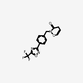 O=C1CC=CON1Cc1ccc(-c2noc(C(F)(F)F)n2)cc1